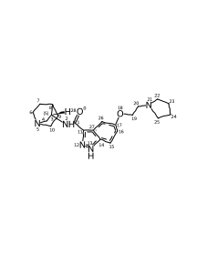 O=C(N[C@@H]1CN2CCC1CC2)c1n[nH]c2ccc(OCCN3CCCC3)cc12